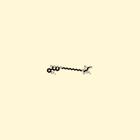 CC(C)CCC(C)(C)C(=O)OCCCCCCCCCCCCCOc1ccc2cc(-c3ccccc3C(F)(F)F)c(=O)oc2n1